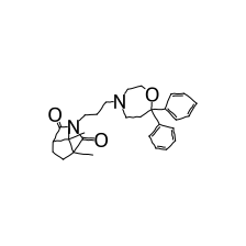 CC12CCC(C(=O)N(CCCN3CCOC(c4ccccc4)(c4ccccc4)CC3)C1=O)C2(C)C